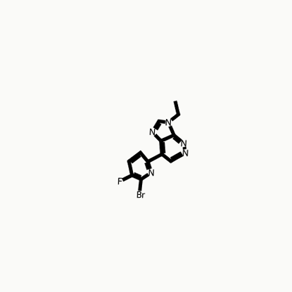 CCn1cnc2c(-c3ccc(F)c(Br)n3)cnnc21